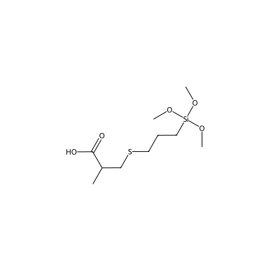 CO[Si](CCCSCC(C)C(=O)O)(OC)OC